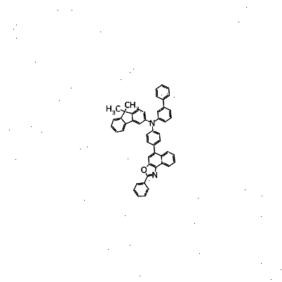 CC1(C)c2ccccc2-c2cc(N(c3ccc(-c4cc5oc(-c6ccccc6)nc5c5ccccc45)cc3)c3cccc(-c4ccccc4)c3)ccc21